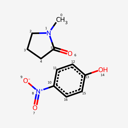 CN1CCCC1=O.O=[N+]([O-])c1ccc(O)cc1